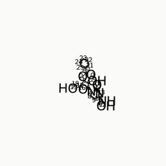 O=C(O[C@H]1[C@@H](O)[C@H](n2ccc(NO)nc2=O)O[C@@H]1CO)c1ccccc1